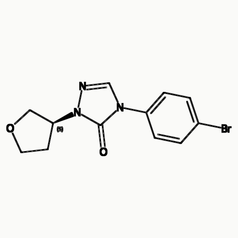 O=c1n(-c2ccc(Br)cc2)cnn1[C@H]1CCOC1